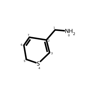 NCC1=CSCC=C1